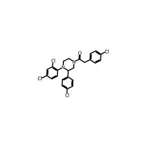 O=C(Cc1ccc(Cl)cc1)N1CCN(c2ccc(Cl)cc2Cl)C(c2ccc(Cl)cc2)C1